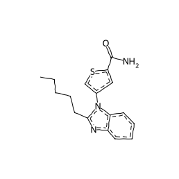 CCCCCc1nc2ccccc2n1-c1csc(C(N)=O)c1